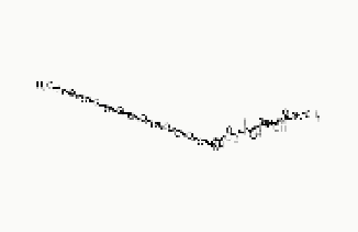 C/C=N/OCC(=O)NCC(=O)NCC(=O)NCC(=O)NCCNC(=O)OCc1cn(CCOCCOCCOCCOCCOCCOCCOCCOCCOCCOCCOCCOCCOCCC)nn1